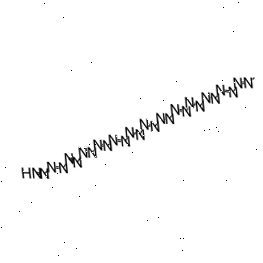 CN=NN=NN=NN=NN=NN=NN=NN=NN=NN=NN=NN=NN=NN=N